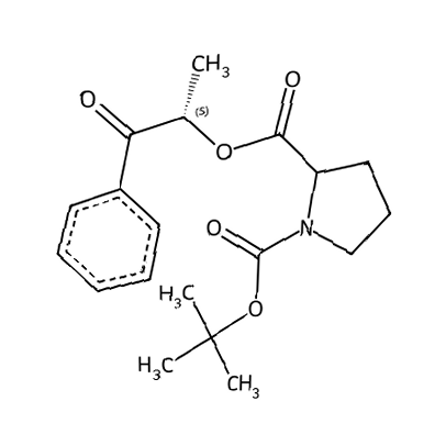 C[C@H](OC(=O)C1CCCN1C(=O)OC(C)(C)C)C(=O)c1ccccc1